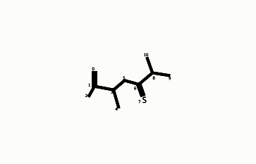 C=C(C)C(C)CC(=S)C(C)C